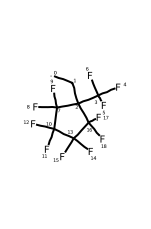 [CH2]CC1(C(F)(F)F)C(F)(F)C(F)(F)C(F)(F)C1(F)F